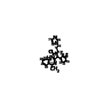 CC(N=C1NC(=O)N(CCCn2ccnc2)C1c1cccc(F)c1F)c1ccccc1